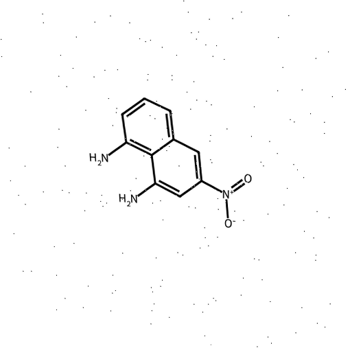 Nc1cccc2cc([N+](=O)[O-])cc(N)c12